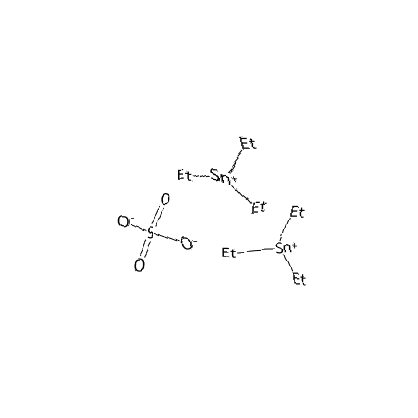 C[CH2][Sn+]([CH2]C)[CH2]C.C[CH2][Sn+]([CH2]C)[CH2]C.O=S(=O)([O-])[O-]